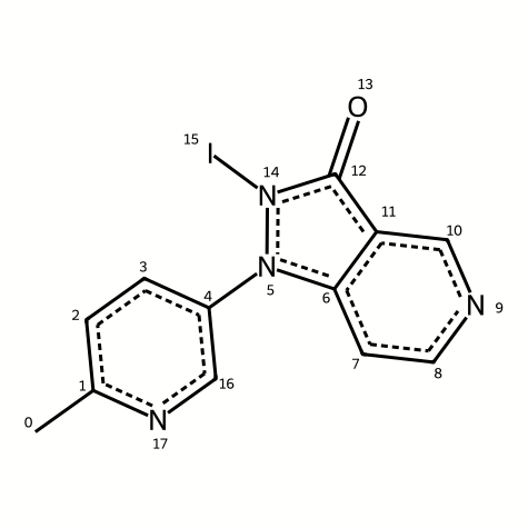 Cc1ccc(-n2c3ccncc3c(=O)n2I)cn1